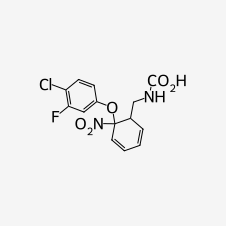 O=C(O)NCC1C=CC=CC1(Oc1ccc(Cl)c(F)c1)[N+](=O)[O-]